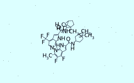 CC1(C)C2CCC1(C)C(NC(=O)c1cc3c(C(F)(F)F)cncc3[nH]1)C2.Cc1nc2[nH]c(C(=O)NC3CC[Si](C)(C)CC3)cc2c(F)c1F